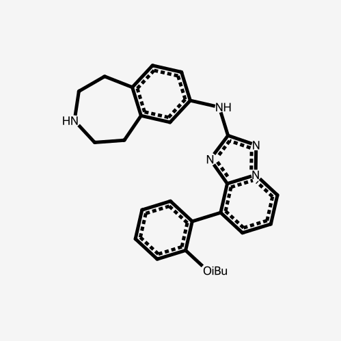 CC(C)COc1ccccc1-c1cccn2nc(Nc3ccc4c(c3)CCNCC4)nc12